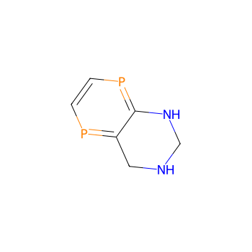 c1cpc2c(p1)CNCN2